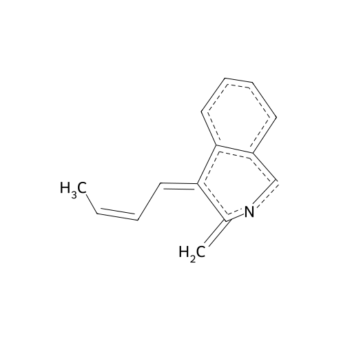 C=c1ncc2ccccc2/c1=C/C=C\C